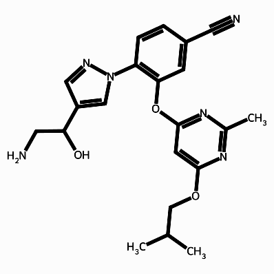 Cc1nc(OCC(C)C)cc(Oc2cc(C#N)ccc2-n2cc(C(O)CN)cn2)n1